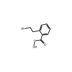 CC(C)CCc1ccccc1C(=O)OO